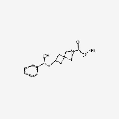 CC(C)(C)OC(=O)N1CC2(CC(C[C@H](O)c3ccccc3)C2)C1